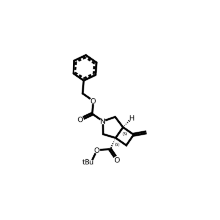 C=C1C[C@@]2(C(=O)OC(C)(C)C)CN(C(=O)OCc3ccccc3)C[C@@H]12